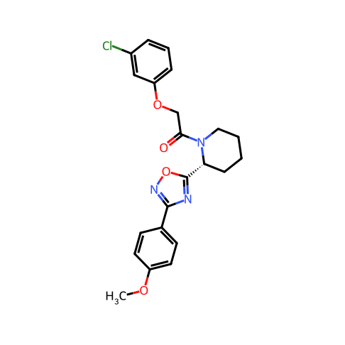 COc1ccc(-c2noc([C@H]3CCCCN3C(=O)COc3cccc(Cl)c3)n2)cc1